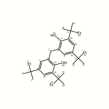 CCC(C)(C)c1cc(Sc2cc(C(C)(C)CC)cc(C(C)(C)CC)c2O)c(O)c(C(C)(C)CC)c1